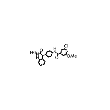 COc1cc(C(=O)Nc2ccc(C(C(=O)NO)c3ccccc3)cc2)cc(Cl)n1